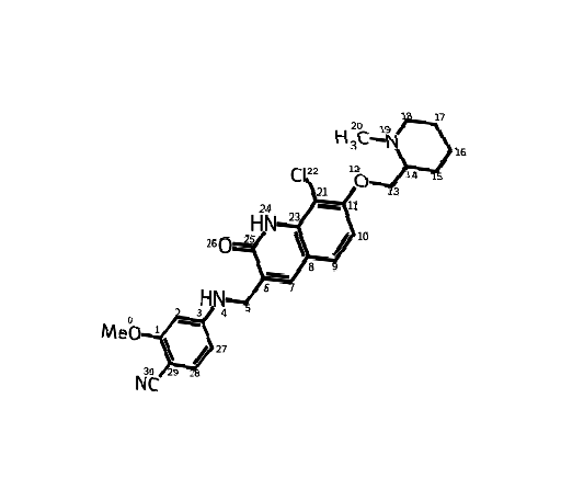 COc1cc(NCc2cc3ccc(OCC4CCCCN4C)c(Cl)c3[nH]c2=O)ccc1C#N